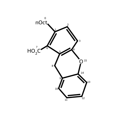 CCCCCCCCc1ccc2c(c1C(=O)O)Cc1ccccc1O2